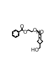 O=C(OCCOn1on1N1CC(CO)C1)c1ccccc1